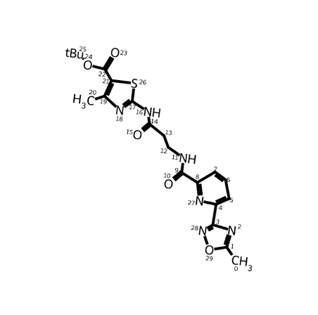 Cc1nc(-c2cccc(C(=O)NCCC(=O)Nc3nc(C)c(C(=O)OC(C)(C)C)s3)n2)no1